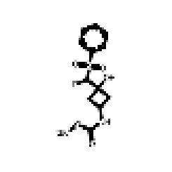 CC(C)(C)OC(=O)NC1CC(O)(C(F)S(=O)(=O)c2ccccc2)C1